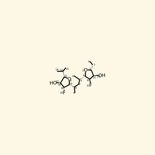 CC[C@H]1O[C@@H](C(C)CC(C)[C@H]2O[C@@H](C(C)C)[C@H](O)[C@H]2F)[C@H](F)[C@@H]1O